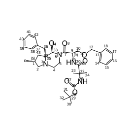 C[C@@H]1CN2CCN(C(=O)[C@@H](COCc3ccccc3)NC(=O)C(C)(C)NC(=O)OC(C)(C)C)C(=O)[C@@]2(Cc2ccccc2)C1